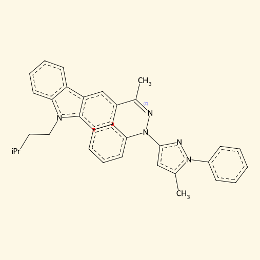 C/C(=N/N(c1ccccc1)c1cc(C)n(-c2ccccc2)n1)c1ccc2c(c1)c1ccccc1n2CCC(C)C